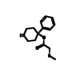 CSCC(=O)OC1(c2ccccc2)CCNCC1